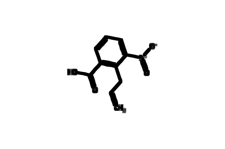 C=CCc1c(C(=O)O)cccc1[N+](=O)[O-]